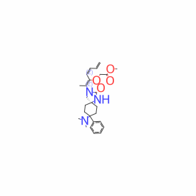 C=C/C=C\C(OCC(=O)OC)=C(/C)N1C[C@]2(CC[C@](c3ccccc3)(N(C)C)CC2)NC1=O